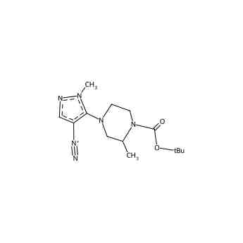 CC1CN(c2c([N+]#N)cnn2C)CCN1C(=O)OC(C)(C)C